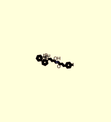 CC(C)(C)[Si](OCCCC(O)/C=C/C(=O)CCc1ccc(I)cc1)(c1ccccc1)c1ccccc1